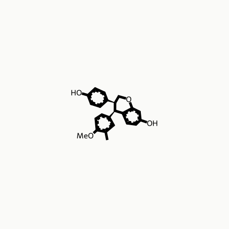 COc1ccc([C@@H]2c3ccc(O)cc3OC[C@@H]2c2ccc(O)cc2)cc1C